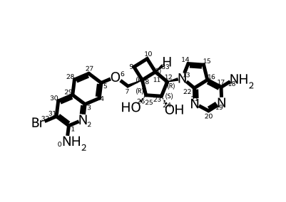 Nc1nc2cc(OC[C@@]34CC[C@@H]3[C@@H](n3ccc5c(N)ncnc53)[C@H](O)[C@@H]4O)ccc2cc1Br